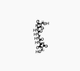 O=C(NCNC(=O)NC1=NC(=O)N(CO)C1=O)NC1=NC(=O)N(CO)C1=O